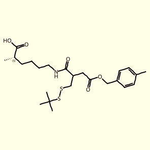 Cc1ccc(COC(=O)CC(CSSC(C)(C)C)C(=O)NCCCC[C@H](C)C(=O)O)cc1